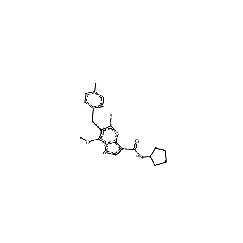 COc1c(Cc2ccc(C)cc2)c(C)nc2c(C(=O)NC3CCCC3)cnn12